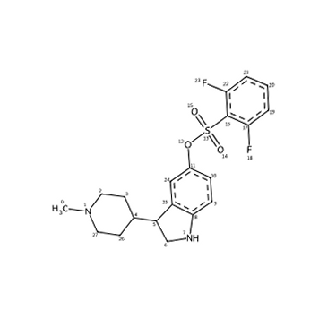 CN1CCC(C2CNc3ccc(OS(=O)(=O)c4c(F)cccc4F)cc32)CC1